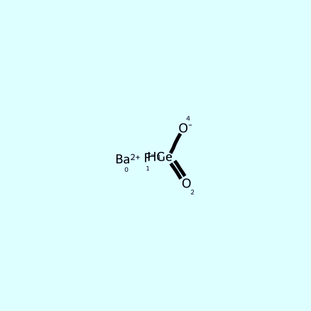 [Ba+2].[F-].[O]=[GeH][O-]